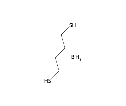 SCCCCS.[BiH3]